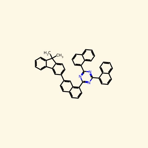 CC1(C)c2ccccc2-c2cc(-c3ccc4cccc(-c5nc(-c6cccc7ccccc67)nc(-c6cccc7ccccc67)n5)c4c3)ccc21